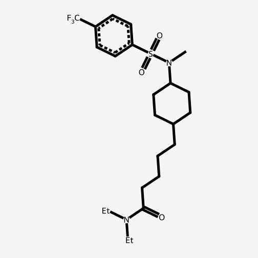 CCN(CC)C(=O)CCCCC1CCC(N(C)S(=O)(=O)c2ccc(C(F)(F)F)cc2)CC1